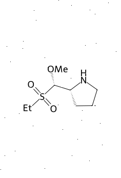 CCS(=O)(=O)[C@H](OC)[C@H]1C[CH]CN1